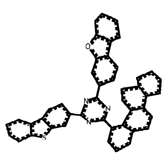 c1ccc2c(c1)ccc1c2ccc2cccc(-c3nc(-c4ccc5c(c4)oc4ccccc45)nc(-c4ccc5c(c4)sc4ccccc45)n3)c21